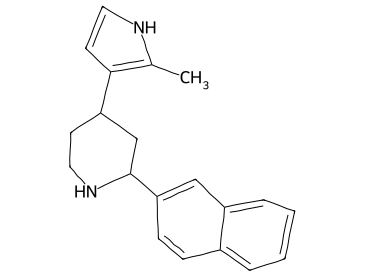 Cc1[nH]ccc1C1CCNC(c2ccc3ccccc3c2)C1